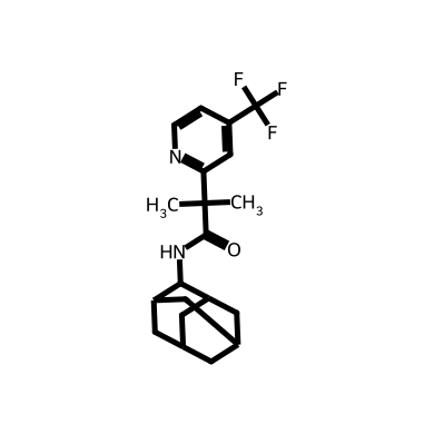 CC(C)(C(=O)NC1C2CC3CC(C2)CC1C3)c1cc(C(F)(F)F)ccn1